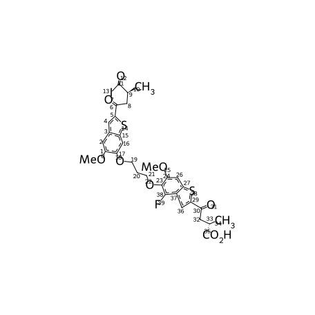 COc1cc2cc(C(=O)C[C@H](C)C(=O)I)sc2cc1OCCCOc1c(OC)cc2sc(C(=O)C[C@H](C)C(=O)O)cc2c1F